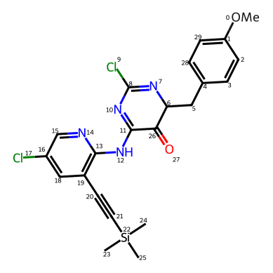 COc1ccc(CC2N=C(Cl)N=C(Nc3ncc(Cl)cc3C#C[Si](C)(C)C)C2=O)cc1